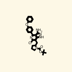 CC(C)(C)OC(=O)N1CCCC1Cc1c(Cl)nc(-c2ccc(Oc3ccccc3)cc2)c2c(N)n[nH]c12